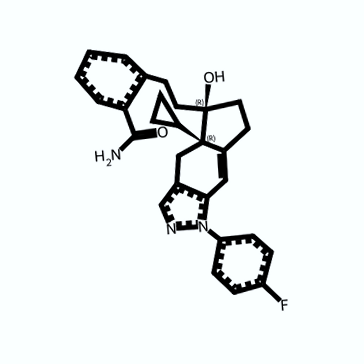 NC(=O)c1ccccc1CC[C@]1(O)CCC2=Cc3c(cnn3-c3ccc(F)cc3)C[C@@]21C1CC1